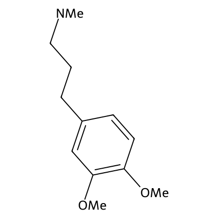 [CH2]NCCCc1ccc(OC)c(OC)c1